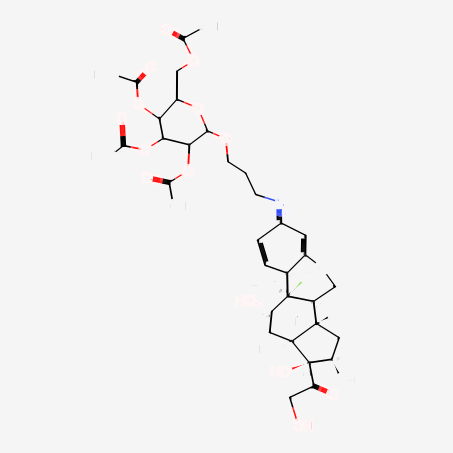 CC(=O)OCC1OC(OCCC/N=C2\C=C[C@@]3(C)C(=C2)CC[C@H]2[C@@H]4C[C@@H](C)[C@](O)(C(=O)CO)[C@@]4(C)C[C@H](O)[C@@]23F)C(OC(C)=O)C(OC(C)=O)C1OC(C)=O